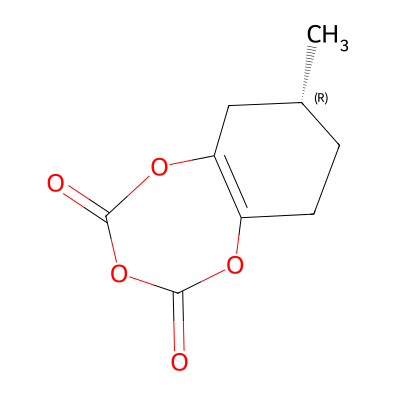 C[C@@H]1CCC2=C(C1)OC(=O)OC(=O)O2